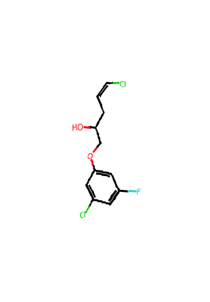 OC(C/C=C\Cl)COc1cc(F)cc(Cl)c1